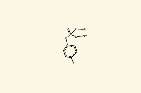 CCCOP(=O)(OCCC)Oc1ccc(C)cc1